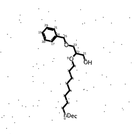 CCCCCCCCCCCCCCCCCCOC(CO)COCc1ccccc1